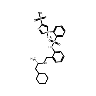 C[C@@H](CC1CCCCC1)NCc1ccccc1NS(=O)(=O)c1ccccc1[N+]1(C)C=NC(S(N)(=O)=O)=C1